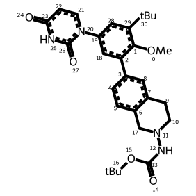 COc1c(-c2ccc3c(c2)CCN(NC(=O)OC(C)(C)C)C3)cc(-n2ccc(=O)[nH]c2=O)cc1C(C)(C)C